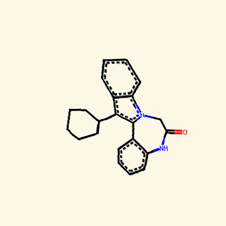 O=C1Cn2c(c(C3CCCCC3)c3ccccc32)-c2ccccc2N1